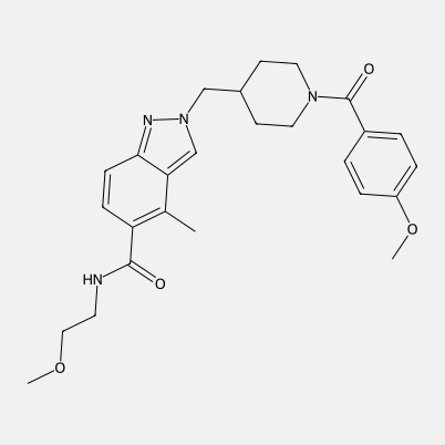 COCCNC(=O)c1ccc2nn(CC3CCN(C(=O)c4ccc(OC)cc4)CC3)cc2c1C